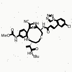 C=C(C(=O)NC(C)(C)C)[C@H]1CCCC[C@H](NC(=O)/C=C/c2cc(Cl)ccc2-n2cnnn2)c2nc(c(C#N)[nH]2)-c2ccc(NC(=O)OC)cc2N1